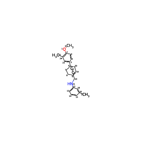 COc1ccc(C23CCC(CNc4cccc(C)c4)(CC2)CC3)cc1C